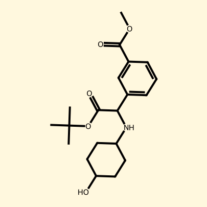 COC(=O)c1cccc(C(NC2CCC(O)CC2)C(=O)OC(C)(C)C)c1